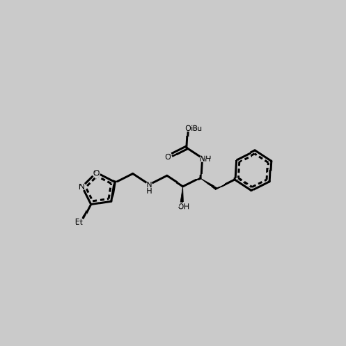 CCc1cc(CNC[C@H](O)[C@H](Cc2ccccc2)NC(=O)OCC(C)C)on1